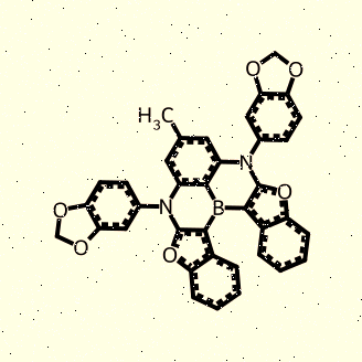 Cc1cc2c3c(c1)N(c1ccc4c(c1)OCO4)c1oc4ccccc4c1B3c1c(oc3ccccc13)N2c1ccc2c(c1)OCO2